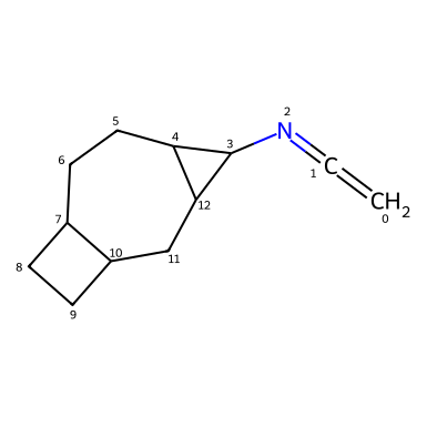 C=C=NC1C2CCC3CCC3CC21